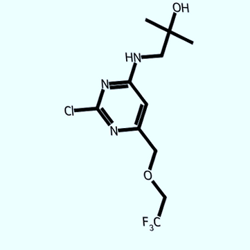 CC(C)(O)CNc1cc(COCC(F)(F)F)nc(Cl)n1